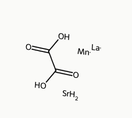 O=C(O)C(=O)O.[La].[Mn].[SrH2]